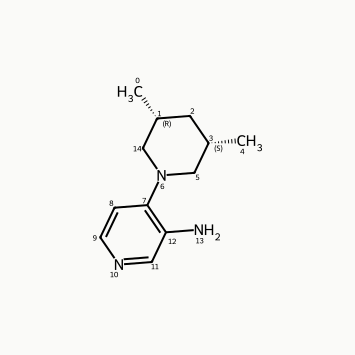 C[C@@H]1C[C@H](C)CN(c2ccncc2N)C1